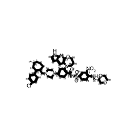 C[C@@H]1CCCC(CN2CCN(c3ccc(C(=O)NS(=O)(=O)c4ccc(NC[C@H]5COCCO5)c([N+](=O)[O-])c4)c(N4CCCOc5nc6[nH]ccc6cc54)c3)CC2)=C(c2ccc(Cl)cc2)C1